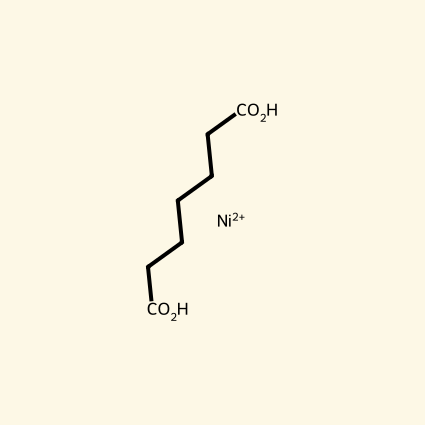 O=C(O)CCCCCC(=O)O.[Ni+2]